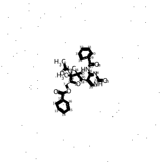 CC(=O)O[C@@]1(C)[C@@H](COC(=O)c2ccccc2)O[C@H](c2c[nH]c(=O)nc2NC(=O)c2ccccc2)[C@@]1(C)F